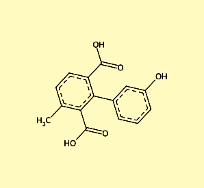 Cc1ccc(C(=O)O)c(-c2cccc(O)c2)c1C(=O)O